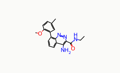 CCNC(=O)c1nnc2c(-c3cc(C)ccc3OC)cccc2c1N